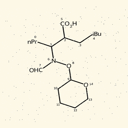 CCCC(C(CC(C)CC)C(=O)O)N(C=O)OC1CCCCO1